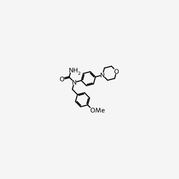 COc1ccc(CN(C(N)=O)c2ccc(N3CCOCC3)cc2)cc1